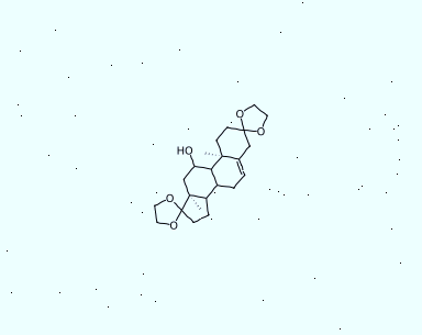 C[C@]12CCC3(CC1=CCC1C2C(O)C[C@@]2(C)C1CCC21OCCO1)OCCO3